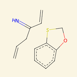 C=CCC(=N)C=C.c1ccc2c(c1)OCS2